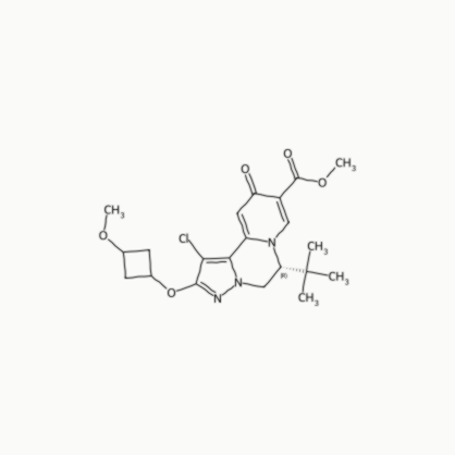 COC(=O)c1cn2c(cc1=O)-c1c(Cl)c(OC3CC(OC)C3)nn1C[C@H]2C(C)(C)C